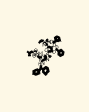 CCn1cnc([C@H]2O[C@@H](n3cnc4c(NCC(c5ccccc5)c5ccccc5)nc(CNS(=O)(=O)CC(C)C)nc43)[C@H](OC(=O)c3ccccc3)[C@H]2OC(=O)c2ccccc2)n1